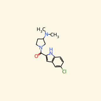 CN(C)C1CCN(C(=O)c2cc3cc(Cl)ccc3[nH]2)C1